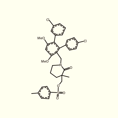 COc1cc(OC)c(-c2cccc(Cl)c2)c(-c2ccc(Cl)cc2)c1CN1CCCC(C)(COS(=O)(=O)c2ccc(C)cc2)C1=O